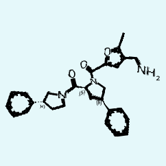 Cc1oc(C(=O)N2C[C@@H](c3ccccc3)C[C@H]2C(=O)N2CC[C@H](c3ccccc3)C2)cc1CN